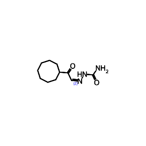 NC(=O)N/N=C\C(=O)C1CCCCCCC1